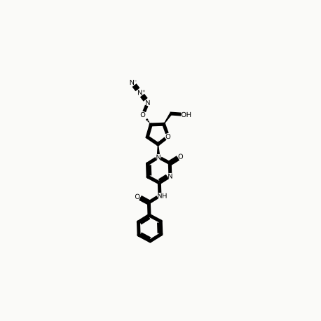 [N-]=[N+]=NO[C@H]1C[C@H](n2ccc(NC(=O)c3ccccc3)nc2=O)O[C@@H]1CO